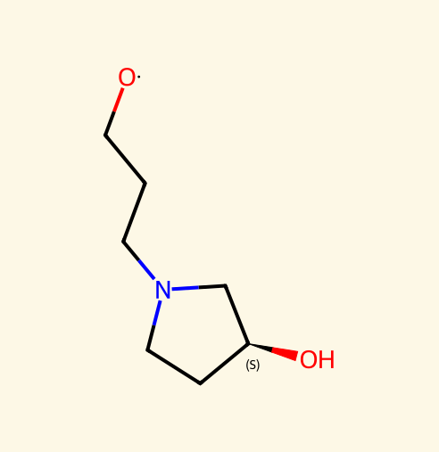 [O]CCCN1CC[C@H](O)C1